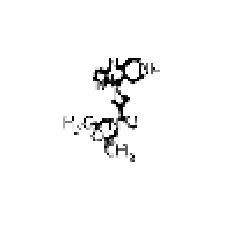 C[C@@H]1CN(C(=O)C2CN(c3c4c(nc5ccnn35)CCNCC4)C2)C[C@H](C)O1